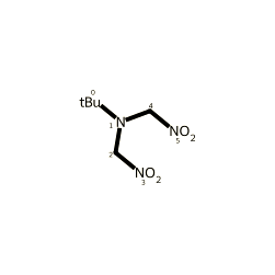 CC(C)(C)N(C[N+](=O)[O-])C[N+](=O)[O-]